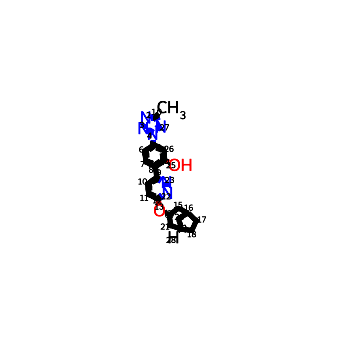 Cc1nnn(-c2ccc(-c3ccc(O[C@H]4CC5CC[C@@H](C5)C4)nn3)c(O)c2)n1